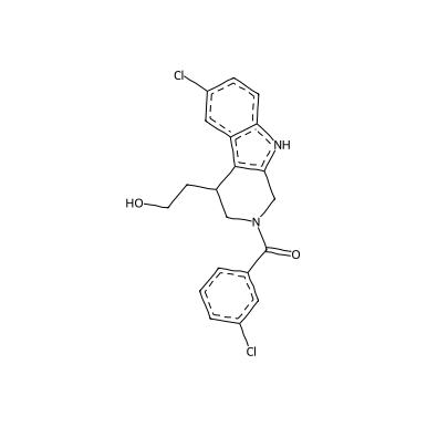 O=C(c1cccc(Cl)c1)N1Cc2[nH]c3ccc(Cl)cc3c2C(CCO)C1